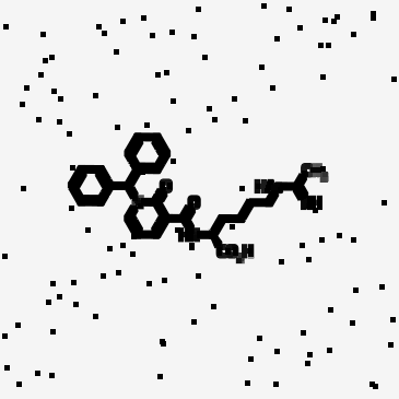 CC(=N)[AsH]CCCC[C@H](NC(=O)c1cccn(C(c2ccccc2)c2ccccc2)c1=O)C(=O)O